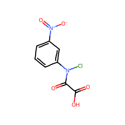 O=C(O)C(=O)N(Cl)c1cccc([N+](=O)[O-])c1